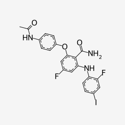 CC(=O)Nc1ccc(Oc2cc(F)cc(Nc3ccc(I)cc3F)c2C(N)=O)cc1